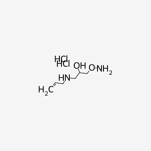 C=CCNCC(O)CON.Cl.Cl